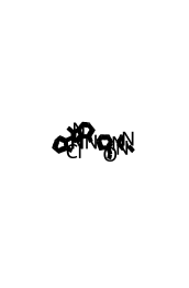 COc1cc(Nc2cccn3c(C)c(-c4ccccc4Cl)nc23)ccc1-n1cnc(C)n1